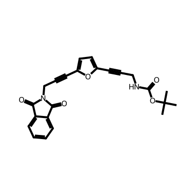 CC(C)(C)OC(=O)NCC#Cc1ccc(C#CCN2C(=O)c3ccccc3C2=O)o1